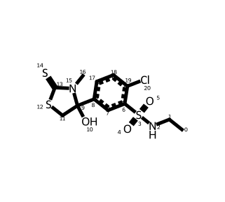 CCNS(=O)(=O)c1cc(C2(O)CSC(=S)N2C)ccc1Cl